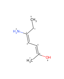 CC/C(N)=C\C=C(/C)O